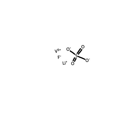 O=S(=O)([O-])[O-].[F-].[Li+].[V+5]